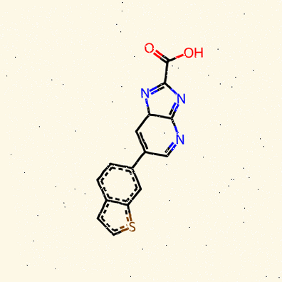 O=C(O)C1=NC2C=C(c3ccc4ccsc4c3)C=NC2=N1